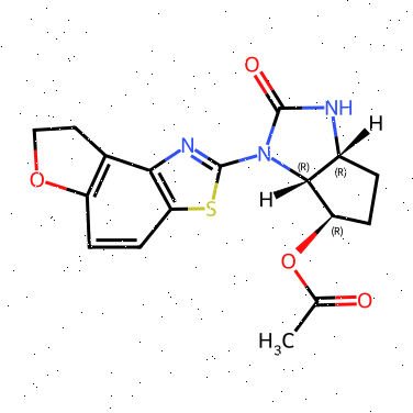 CC(=O)O[C@@H]1CC[C@H]2NC(=O)N(c3nc4c5c(ccc4s3)OCC5)[C@H]21